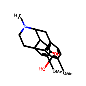 COC1=CC23CCN(C)C(Cc4ccc(OC)c(O)c42)C3CC1O